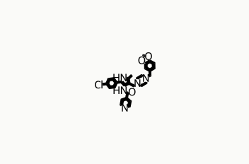 Cc1[nH]c(-c2ccc(Cl)cc2)c(NC(=O)c2ccncc2)c1CN1CCN(Cc2ccc3c(c2)OCO3)CC1